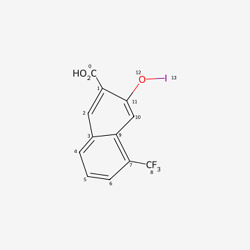 O=C(O)c1cc2cccc(C(F)(F)F)c2cc1OI